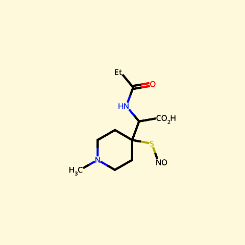 CCC(=O)NC(C(=O)O)C1(SN=O)CCN(C)CC1